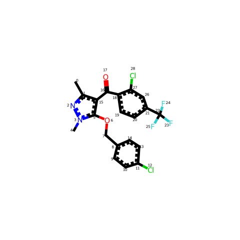 Cc1nn(C)c(OCc2ccc(Cl)cc2)c1C(=O)c1ccc(C(F)(F)F)cc1Cl